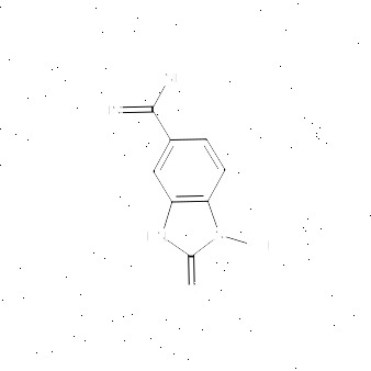 N=C(N)c1ccc2c(c1)[nH]c(=O)n2O